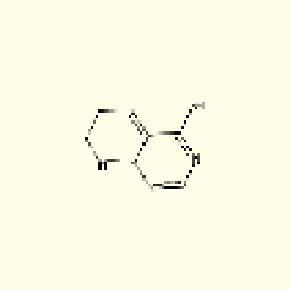 Sc1nccc2c1=CCCN=2